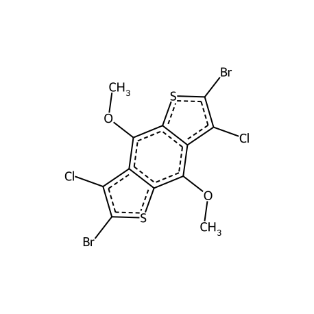 COc1c2sc(Br)c(Cl)c2c(OC)c2sc(Br)c(Cl)c12